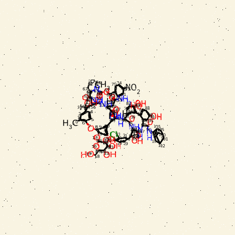 Cc1cc2ccc1Oc1cc3cc(c1O[C@@H]1O[C@H](CO)[C@@H](O)[C@H](O)[C@H]1O)Oc1ccc(cc1Cl)[C@@H](O)[C@@H]1NC(=O)[C@H](NC(=O)[C@@H]3NC(=O)[C@H](CC(N)=O)NC(=O)[C@H](NC(=O)[C@@H](CC(C)C)N(C)C(=O)OCc3ccc([N+](=O)[O-])cc3)[C@@H]2O)c2ccc(O)c(c2)-c2c(O)cc(O)cc2[C@@H](C(=O)NC2C3CC4CC(C3)CC2C4)NC1=O